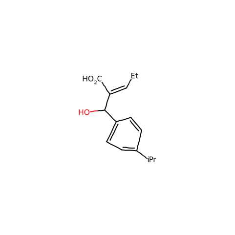 CCC=C(C(=O)O)C(O)c1ccc(C(C)C)cc1